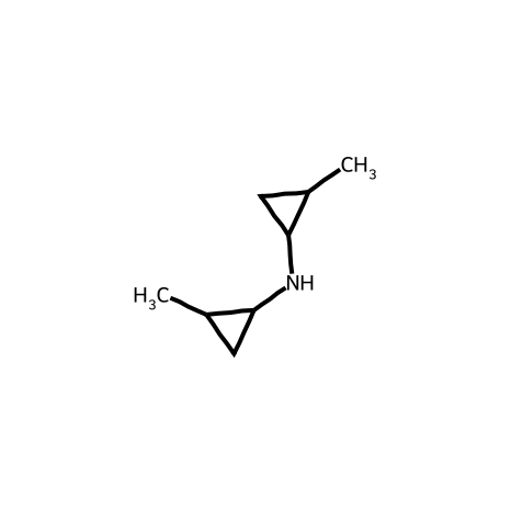 CC1CC1NC1CC1C